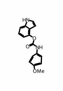 COc1ccc(NC(=O)Oc2cccc3[nH]ccc23)cc1